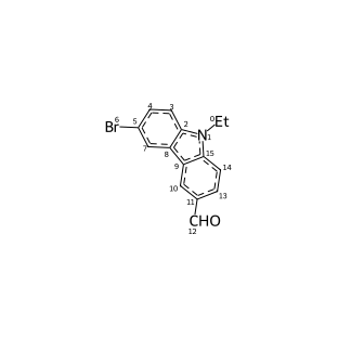 CCn1c2ccc(Br)cc2c2cc(C=O)ccc21